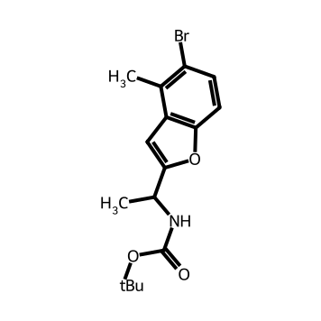 Cc1c(Br)ccc2oc(C(C)NC(=O)OC(C)(C)C)cc12